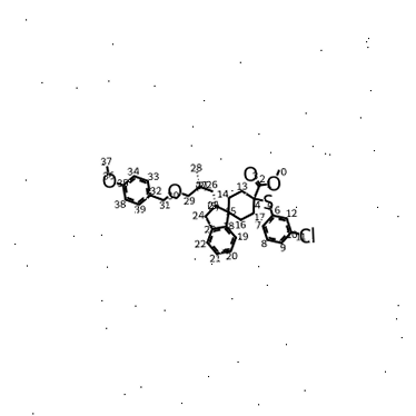 COC(=O)C1(Sc2cccc(Cl)c2)CCC2(CC1)c1ccccc1C[C@@H]2C[C@@H](C)COCc1ccc(OC)cc1